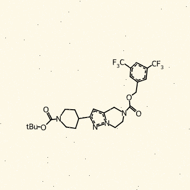 CC(C)(C)OC(=O)N1CCC(c2cc3n(n2)CCN(C(=O)OCc2cc(C(F)(F)F)cc(C(F)(F)F)c2)C3)CC1